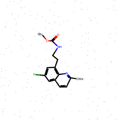 COc1ccc2cc(F)cc(CCNC(=O)OC(C)(C)C)c2n1